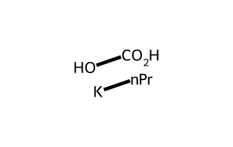 CC[CH2][K].O=C(O)O